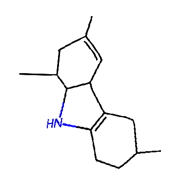 CC1=CC2C3=C(CCC(C)C3)NC2C(C)C1